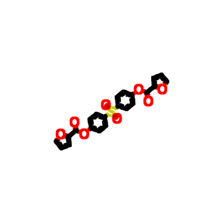 O=C(Oc1ccc(S(=O)(=O)c2ccc(OC(=O)c3ccco3)cc2)cc1)c1ccco1